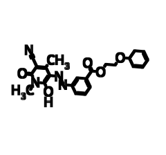 Cc1c(/N=N/c2cccc(C(=O)OCCOC3C=CC=CC3)c2)c(O)n(C)c(=O)c1C#N